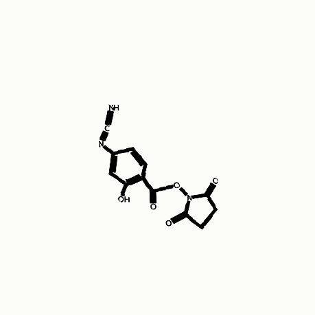 N=C=Nc1ccc(C(=O)ON2C(=O)CCC2=O)c(O)c1